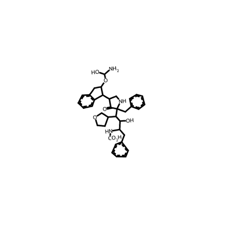 NC(O)OC1Cc2ccccc2C1C1CNC(Cc2ccccc2)(C(C2CCOC2)C(O)C(Cc2ccccc2)NC(=O)O)C1=O